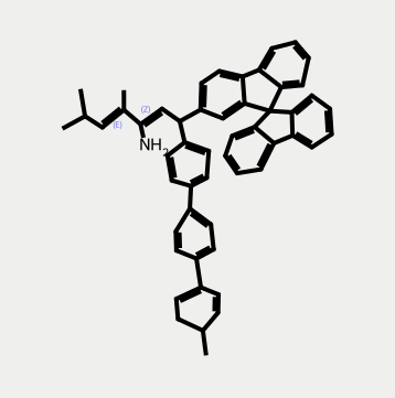 CC(=C\C(C)C)/C(N)=C/C(c1ccc(-c2ccc(C3=CCC(C)C=C3)cc2)cc1)c1ccc2c(c1)C1(c3ccccc3-c3ccccc31)c1ccccc1-2